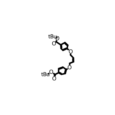 CC(C)(C)OC(=O)c1ccc(OC/C=C\COc2ccc(C(=O)OC(C)(C)C)cc2)cc1